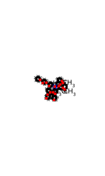 CC1(C)CCC(C)(C)c2cc(-c3cc4c(cc3N(c3ccc(-c5ccc(-c6ccccc6)cc5)cc3)c3ccc5ccccc5c3)C(c3ccccc3)(c3ccccc3)c3ccccc3-4)ccc21